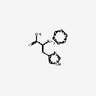 NC(Cc1c[nH]cn1)C(=O)O.c1ccccc1